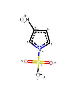 CS(=O)(=O)n1ccc([N+](=O)[O-])c1